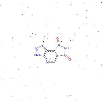 Cc1n[nH]c2ncc3c(c12)C(=O)NC3=O